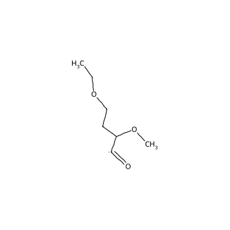 CCOCCC([C]=O)OC